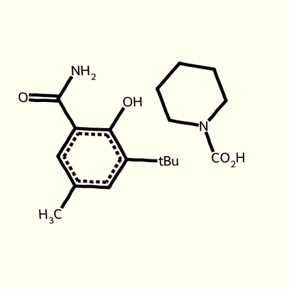 Cc1cc(C(N)=O)c(O)c(C(C)(C)C)c1.O=C(O)N1CCCCC1